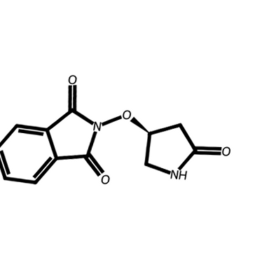 O=C1C[C@H](ON2C(=O)c3ccccc3C2=O)CN1